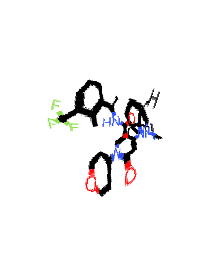 Cc1c([C@@H](C)NC(=O)c2cn(C3CCOCC3)c(=O)cc2N[C@@H]2[C@@H]3CC[C@H]2CN(C)C3)cccc1C(F)(F)F